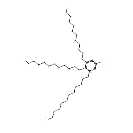 B.CCCCCCCCCCCCc1cc(F)cc(CCCCCCCCCCCC)c1CCCCCCCCCCCC